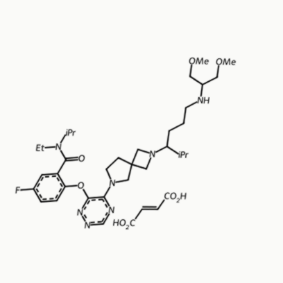 CCN(C(=O)c1cc(F)ccc1Oc1nncnc1N1CCC2(C1)CN(C(CCCNC(COC)COC)C(C)C)C2)C(C)C.O=C(O)/C=C/C(=O)O